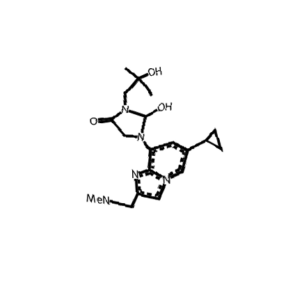 CNCc1cn2cc(C3CC3)cc(N3CC(=O)N(CC(C)(C)O)C3O)c2n1